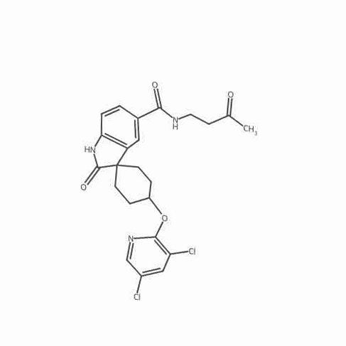 CC(=O)CCNC(=O)c1ccc2c(c1)C1(CCC(Oc3ncc(Cl)cc3Cl)CC1)C(=O)N2